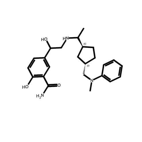 CC(NCC(O)c1ccc(O)c(C(N)=O)c1)[C@H]1CC[C@H](CN(C)c2ccccc2)C1